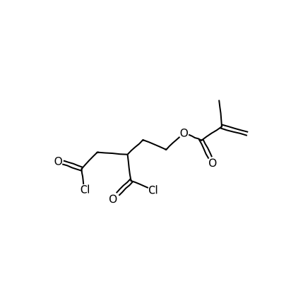 C=C(C)C(=O)OCCC(CC(=O)Cl)C(=O)Cl